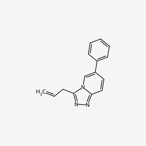 C=CCc1nnc2ccc(-c3ccccc3)cn12